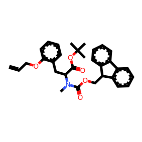 C=CCOc1ccccc1CC(C(=O)OC(C)(C)C)N(C)C(=O)OCC1c2ccccc2-c2ccccc21